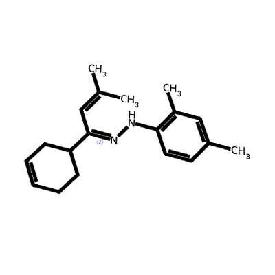 CC(C)=C/C(=N\Nc1ccc(C)cc1C)C1CC=CCC1